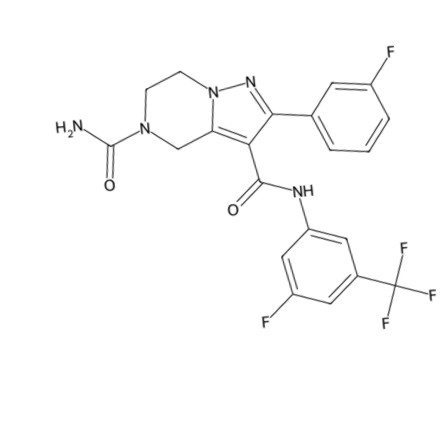 NC(=O)N1CCn2nc(-c3cccc(F)c3)c(C(=O)Nc3cc(F)cc(C(F)(F)F)c3)c2C1